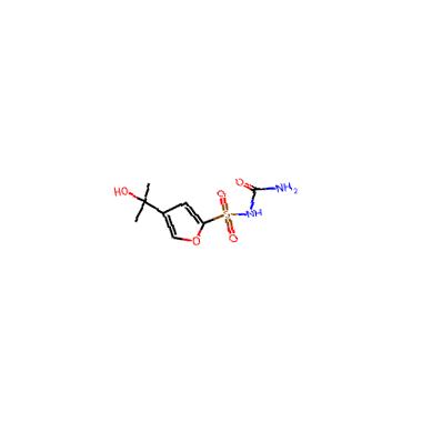 CC(C)(O)c1coc(S(=O)(=O)NC(N)=O)c1